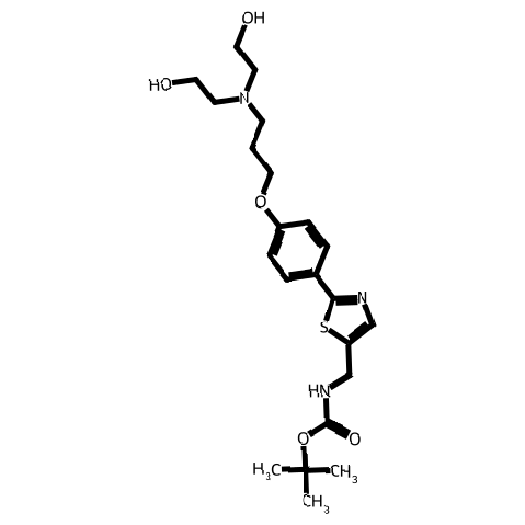 CC(C)(C)OC(=O)NCc1cnc(-c2ccc(OCCCN(CCO)CCO)cc2)s1